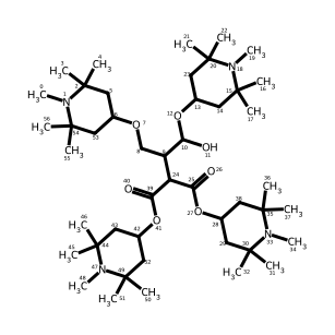 CN1C(C)(C)CC(OCC(C(O)OC2CC(C)(C)N(C)C(C)(C)C2)C(C(=O)OC2CC(C)(C)N(C)C(C)(C)C2)C(=O)OC2CC(C)(C)N(C)C(C)(C)C2)CC1(C)C